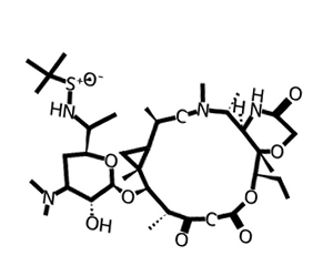 CC[C@H]1OC(=O)CC(=O)[C@H](C)[C@@H](O[C@@H]2O[C@H](C(C)N[S@@+]([O-])C(C)(C)C)CC(N(C)C)[C@H]2O)[C@]2(C)CC2[C@@H](C)CN(C)[C@H](C)[C@H]2NC(=O)CO[C@@]21C